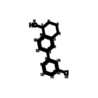 OC1CCCc2cc(-c3cccc(Cl)c3)ccc21